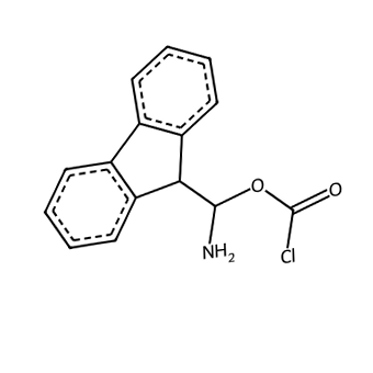 NC(OC(=O)Cl)C1c2ccccc2-c2ccccc21